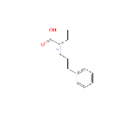 CC/C(=C\CCc1ccccc1)C(=O)O